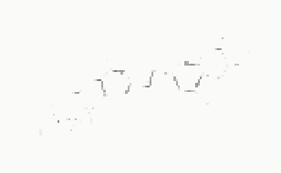 COc1cc(/C=C/c2cc(O)c3c(c2)OC(C)(C)C(O)C3)cc2c1O[C@]1(C)C[C@@H](O)[C@@H](O)C(C)(C)[C@H]1C2